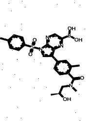 Cc1ccc(S(=O)(=O)n2cc(-c3ccc(C(=O)N(C)C[C@H](C)O)c(C)c3)c3nc(B(O)O)cnc32)cc1